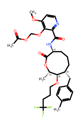 COc1ccnc(C(=O)N[C@H]2CCC[C@H](Cc3ccc(C)cc3)[C@@H](OCCCC(F)(F)F)[C@H](C)OC2=O)c1OCOC(C)=O